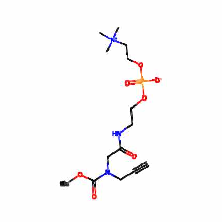 C#CCN(CC(=O)NCCOP(=O)([O-])OCC[N+](C)(C)C)C(=O)OC(C)(C)C